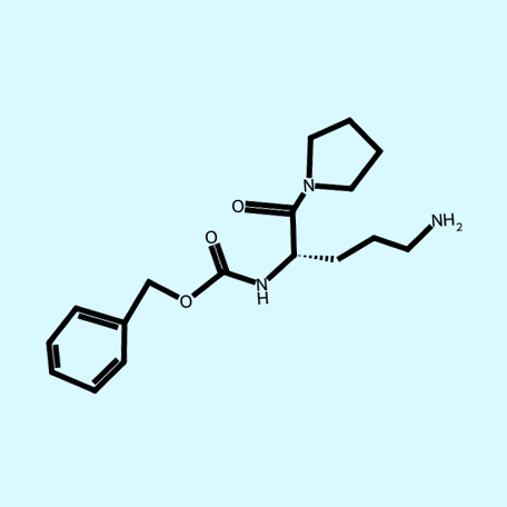 NCCC[C@H](NC(=O)OCc1ccccc1)C(=O)N1CCCC1